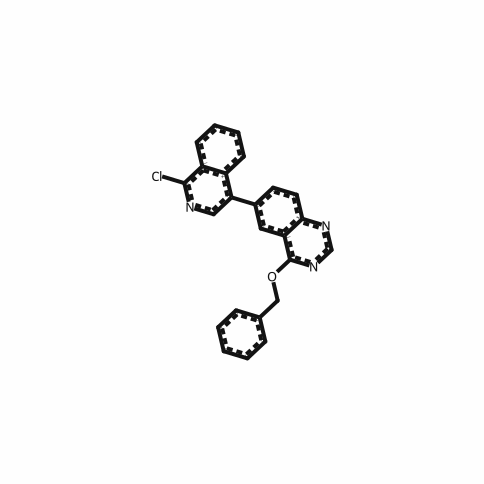 Clc1ncc(-c2ccc3ncnc(OCc4ccccc4)c3c2)c2ccccc12